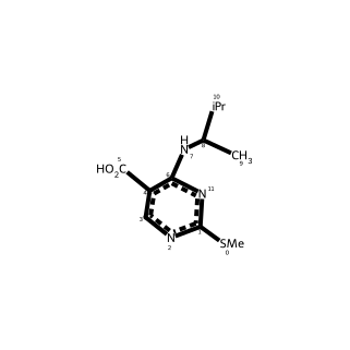 CSc1ncc(C(=O)O)c(NC(C)C(C)C)n1